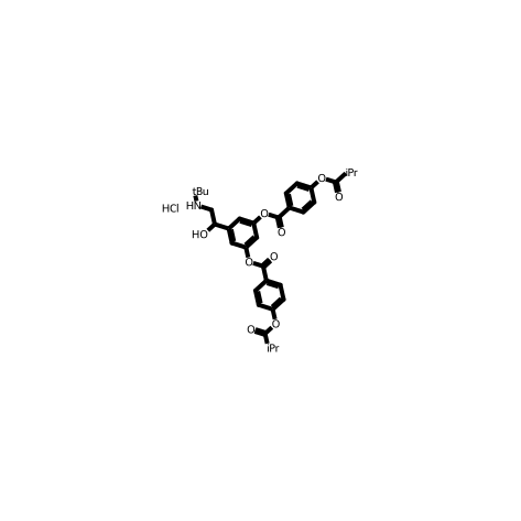 CC(C)C(=O)Oc1ccc(C(=O)Oc2cc(OC(=O)c3ccc(OC(=O)C(C)C)cc3)cc(C(O)CNC(C)(C)C)c2)cc1.Cl